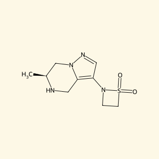 C[C@H]1Cn2ncc(N3CCS3(=O)=O)c2CN1